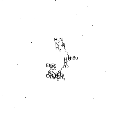 CCCCN(CCCCCCCCN(CCCN)CCCN)CCCNC(=O)CCCCCN1/C(=C/C=C/C2=[N+](CCC[N+](CC)(CC)CC)c3ccccc3C2(C)C)C(C)(C)c2ccccc21